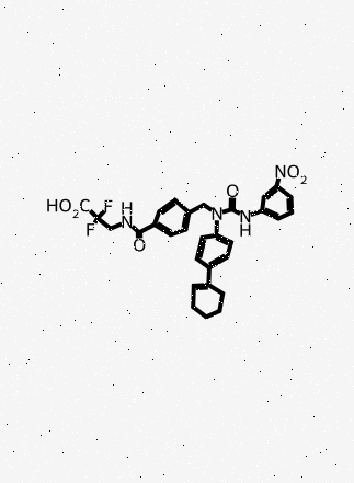 O=C(NCC(F)(F)C(=O)O)c1ccc(CN(C(=O)Nc2cccc([N+](=O)[O-])c2)c2ccc(C3=CCCCC3)cc2)cc1